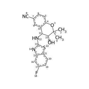 CC1(C)Oc2ccc(C#N)cc2C(Nc2nc3cc(F)ccc3s2)C1O